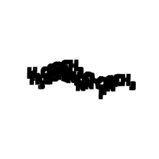 C[C@H]1CN(c2cnc3nc(-c4cc(F)c5nn(C)cc5c4)ccc3c2)CCN1C(=O)OC(C)(C)C